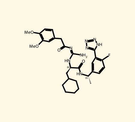 COc1ccc(CC(=O)N=C(N)N[C@H](CC2CCCCC2)C(=O)N[C@@H](C)c2ccc(F)c(-c3nnn[nH]3)c2)cc1OC